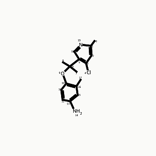 Cc1cc(Cl)c(C(C)(C)Oc2ccc(N)cc2C)cn1